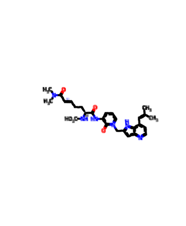 CC(C)=Cc1ccnc2cc(Cn3cccc(NC(=O)[C@H](CC/C=C/C(=O)N(C)C)NC(=O)O)c3=O)[nH]c12